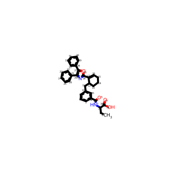 CCC(NC(=O)c1cccc(CC2CCCC=C2c2nc(-c3ccccc3)c(-c3ccccc3)o2)c1)C(=O)O